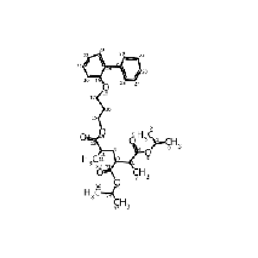 CC(C)OC(=O)C(C)C(CC(C)C(=O)OCCCOc1ccccc1-c1ccccc1)C(=O)OC(C)C